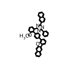 COc1cccc(-c2nc(-c3ccccc3)nc(-c3ccc4ccccc4c3)n2)c1-c1ccc(-c2cccc3c2oc2cc4ccccc4cc23)cc1